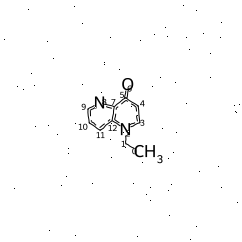 CCn1ccc(=O)c2ncccc21